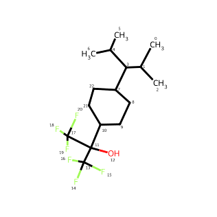 CC(C)C(C(C)C)C1CCC(C(O)(C(F)(F)F)C(F)(F)F)CC1